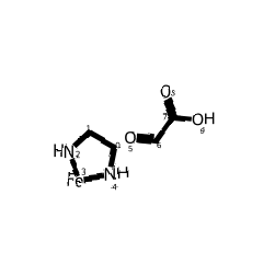 C1C[NH][Fe][NH]1.O=CC(=O)O